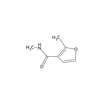 CNC(=O)c1ccoc1C